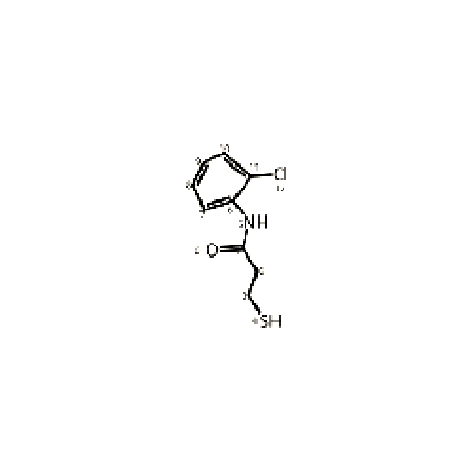 O=C(CCS)Nc1ccccc1Cl